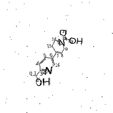 CC(O)c1ccc(C2=CCN(C(=O)O)CC2)cn1